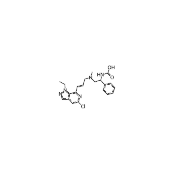 CCn1ncc2cc(Cl)nc(C=CCN(C)CC(NC(=O)O)c3ccccc3)c21